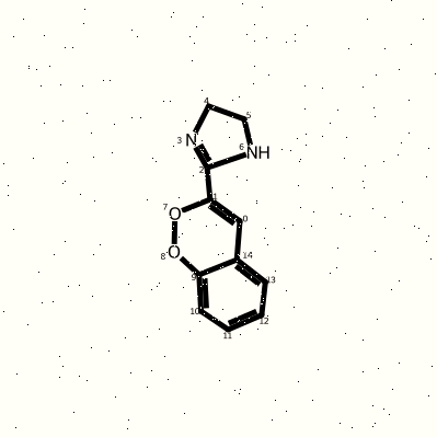 C1=C(C2=NCCN2)OOc2ccccc21